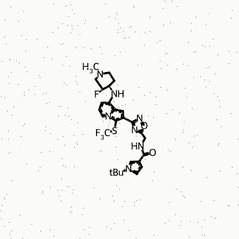 CN1CC[C@@H](Nc2cccn3c(SC(F)(F)F)c(-c4noc(CNC(=O)c5ccn(C(C)(C)C)c5)n4)cc23)[C@@H](F)C1